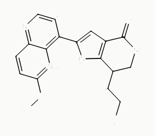 COc1ccc2nccc(-c3cc4c([nH]3)C(CCF)CNC4=O)c2n1